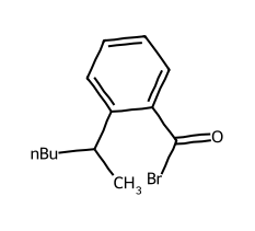 CCCCC(C)c1ccccc1C(=O)Br